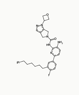 CC(C)CCCCCCc1cc(-c2ccc(N)c(NC(=O)N3Cc4cnn(C5COC5)c4C3)n2)ccc1F